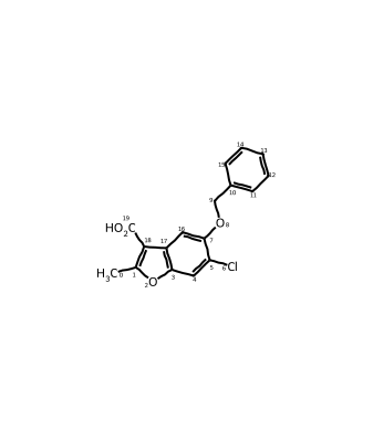 Cc1oc2cc(Cl)c(OCc3ccccc3)cc2c1C(=O)O